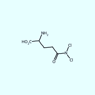 NC(CCC(=O)N(Cl)Cl)C(=O)O